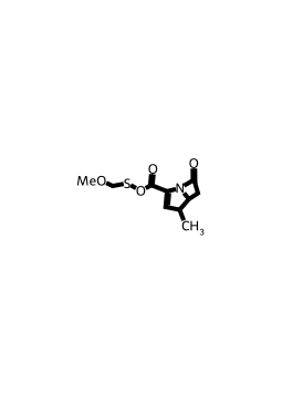 COCSOC(=O)C1=CC(C)C2CC(=O)N12